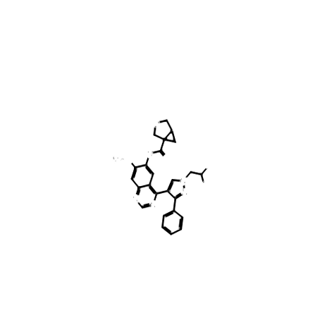 COc1cc2ncnc(-c3cn(CC(F)F)nc3-c3ccccc3)c2cc1NC(=O)C12COCC1C2